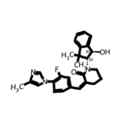 Cc1cn(-c2ccc(C=C3CCCN([C@H]4[C@H](O)c5ccccc5C4(C)C)C3=O)cc2F)cn1